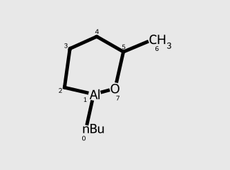 CCC[CH2][Al]1[CH2]CCC(C)[O]1